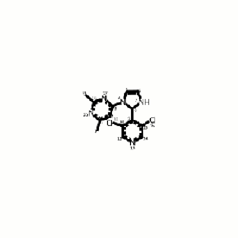 Cc1cc(N2C=CNC2c2c(Cl)cncc2Cl)nc(C)n1